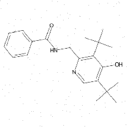 CC(C)(C)c1cnc(CNC(=O)c2ccccc2)c(C(C)(C)C)c1O